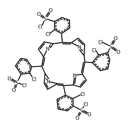 O=S(=O)(Cl)c1cccc(C2=C3C=CC(=N3)C(c3cccc(S(=O)(=O)Cl)c3Cl)=C3C=CC(=N3)C(c3cccc(S(=O)(=O)Cl)c3Cl)=C3C=CC(=N3)C(c3cccc(S(=O)(=O)Cl)c3Cl)=C3C=CC2=N3)c1Cl